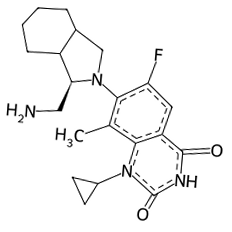 Cc1c(N2CC3CCCCC3[C@@H]2CN)c(F)cc2c(=O)[nH]c(=O)n(C3CC3)c12